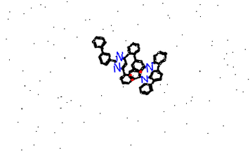 c1ccc(-c2cccc(-c3nc(-c4ccccc4)cc(-c4ccccc4-c4cccc(-n5c6ccccc6c6ccc7c8ccccc8n(-c8ccccc8)c7c65)c4)n3)c2)cc1